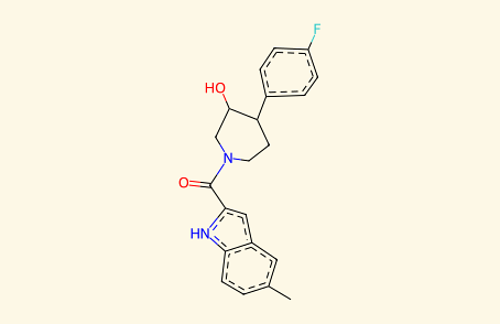 Cc1ccc2[nH]c(C(=O)N3CCC(c4ccc(F)cc4)C(O)C3)cc2c1